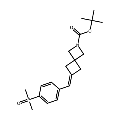 CC(C)(C)OC(=O)N1CC2(CC(=Cc3ccc(P(C)(C)=O)cc3)C2)C1